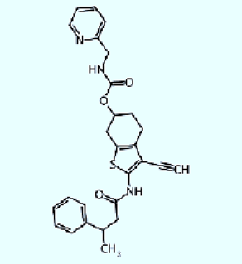 C#Cc1c(NC(=O)CC(C)c2ccccc2)sc2c1CCC(OC(=O)NCc1ccccn1)C2